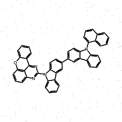 c1ccc2c(c1)Oc1cccc3nc(-n4c5ccccc5c5cc(-c6ccc7c(c6)c6ccccc6n7-c6cccc7ccccc67)ccc54)nc-2c13